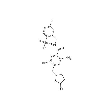 CCS(=O)(=O)c1ccc(Cl)cc1CNC(=O)c1cc(Br)c(CN2CC[C@@H](O)C2)cc1N